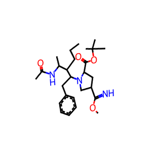 CCCC(C(C)NC(C)=O)C(Cc1ccccc1)N1CC(C(=N)OC)CC1C(=O)OC(C)(C)C